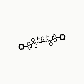 O=C(NCC[C@H](O)CNC(=O)c1cnc(-c2ccccc2)o1)c1cnc(-c2ccccc2)o1